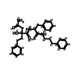 NC(=O)CC(O)(CCc1ccccc1)C(=O)NC(Cc1ccccc1)C(=S)NCCCc1ccccc1